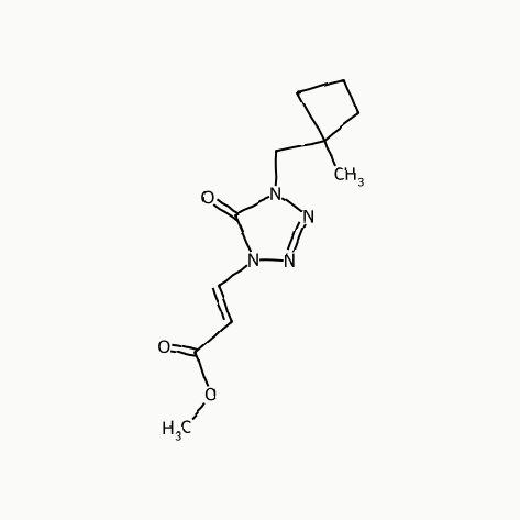 COC(=O)/C=C/n1nnn(CC2(C)CCC2)c1=O